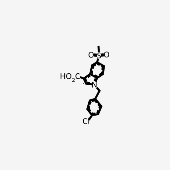 CS(=O)(=O)c1ccc2c(c1)c(C(=O)O)[c]n2Cc1ccc(Cl)cc1